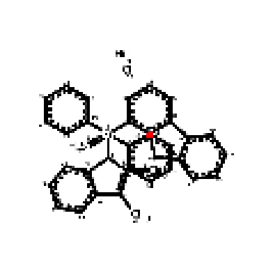 CC1=C(C)[CH]([Zr](=[SiH2])([c]2ccccc2)([c]2ccccc2)[c]2cccc3c2Cc2ccccc2-3)c2ccccc21.Cl.Cl